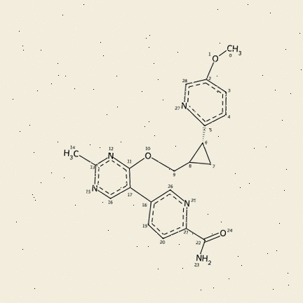 COc1ccc([C@@H]2CC2COc2nc(C)ncc2-c2ccc(C(N)=O)nc2)nc1